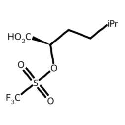 CC(C)CC[C@@H](OS(=O)(=O)C(F)(F)F)C(=O)O